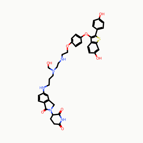 O=C1CCC(N2Cc3cc(NCCCN(CO)CCNCCOc4ccc(Oc5c(-c6ccc(O)cc6)sc6cc(O)ccc56)cc4)ccc3C2=O)C(=O)N1